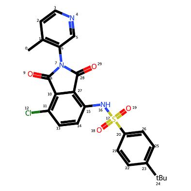 Cc1ccncc1N1C(=O)c2c(Cl)ccc(NS(=O)(=O)c3ccc(C(C)(C)C)cc3)c2C1=O